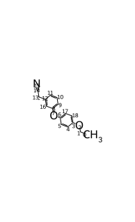 CCOc1ccc(Oc2cccc([CH]C#N)c2)cc1